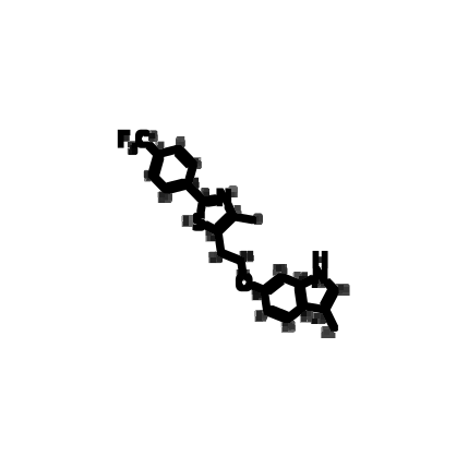 Cc1nc(-c2ccc(C(F)(F)F)cc2)sc1CCOc1ccc2c(C)c[nH]c2c1